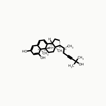 C[C@H](CC#CC(C)(C)O)[C@H]1CC[C@H]2C3=CC=C4C=C(O)C=C(O)[C@]4(C)[C@H]3CC[C@]12C